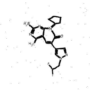 Cc1nc(N)nc2c1cc(-c1cnn(CC(F)F)c1)c(=O)n2C1CCCC1